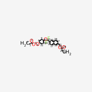 C=CC(=O)OCOc1ccc(OC(F)(F)c2ccc3cc(COC(=O)C=C)ccc3c2)cc1